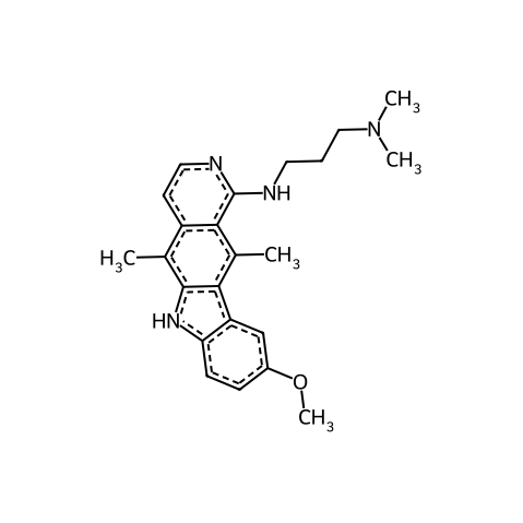 COc1ccc2[nH]c3c(C)c4ccnc(NCCCN(C)C)c4c(C)c3c2c1